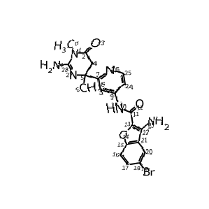 CN1C(=O)CC(C)(c2cc(NC(=O)c3oc4ccc(Br)cc4c3N)ccn2)N=C1N